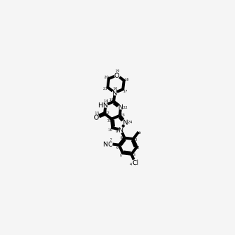 Cc1cc(Cl)cc(C#N)c1-n1cc2c(=O)[nH]c(N3CCOCC3)nc2n1